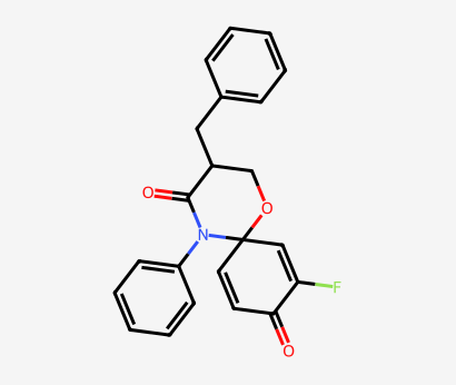 O=C1C=CC2(C=C1F)OCC(Cc1ccccc1)C(=O)N2c1ccccc1